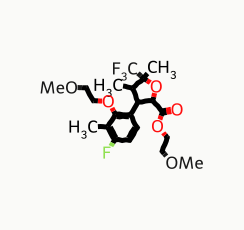 COCCOC(=O)C1OC(C)(C(F)(F)F)C(C)C1c1ccc(F)c(C)c1OCCOC